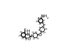 Nc1cc(CN2CCC(OC3CCN(C(=O)Nc4c(F)cccc4F)CC3)CC2)ccn1